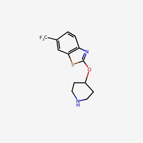 FC(F)(F)c1ccc2nc(OC3CCNCC3)sc2c1